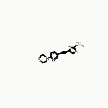 Cc1nc(C#Cc2ccc(N3CCSCC3)nc2)cs1